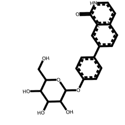 O=c1[nH]ccc2ccc(-c3ccc(OC4OC(CO)C(O)C(O)C4O)cc3)cc12